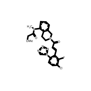 COCC(=O)N(C)c1cccc2c1CCN(C(=O)/C=C/c1c(-n3cnnn3)ccc(Cl)c1F)C2